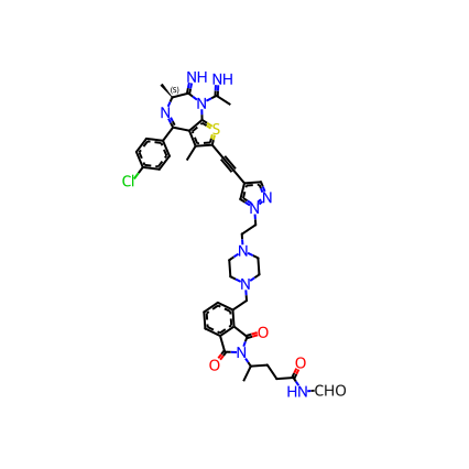 CC(=N)N1C(=N)[C@H](C)N=C(c2ccc(Cl)cc2)c2c1sc(C#Cc1cnn(CCN3CCN(Cc4cccc5c4C(=O)N(C(C)CCC(=O)NC=O)C5=O)CC3)c1)c2C